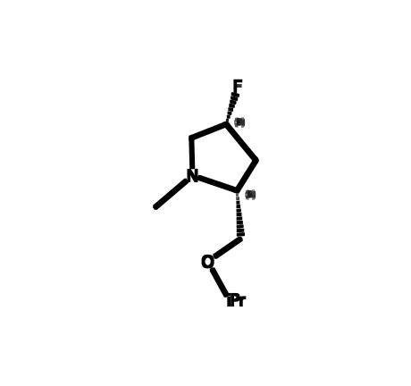 CC(C)OC[C@H]1C[C@@H](F)CN1C